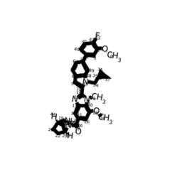 COc1cc(-c2ccc3cc(-c4nc5cc(C(=O)N6C[C@H]7CC[C@@H]6[C@@H]7N)cc(OC)c5n4C)n(CC4CC4)c3c2)ccc1F